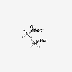 CCCCCCCCC[N+](C)(C)C.CCCCCCCCC[N+](C)(C)C.O=C([O-])[O-]